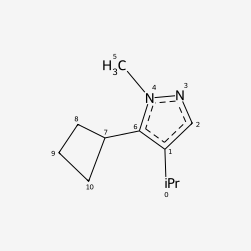 CC(C)c1cnn(C)c1C1CCC1